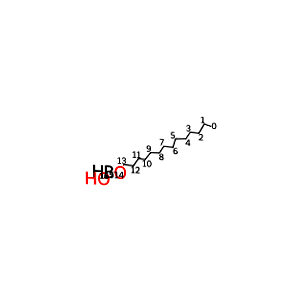 CCCCCCCCCCCCCCOBO